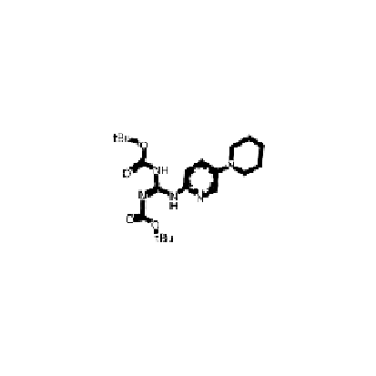 CC(C)(C)OC(=O)N=C(NC(=O)OC(C)(C)C)Nc1ccc(N2CCCCC2)cn1